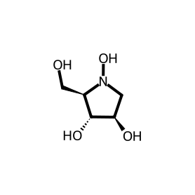 OC[C@@H]1[C@@H](O)[C@H](O)CN1O